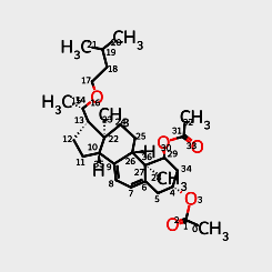 CC(=O)O[C@@H]1CC2=CC=C3[C@@H]4CC[C@H]([C@H](C)OCCC(C)C)[C@@]4(C)CC[C@@H]3[C@@]2(C)[C@@H](OC(C)=O)C1